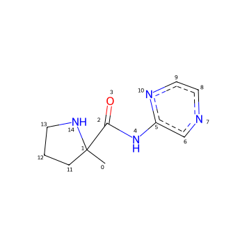 CC1(C(=O)Nc2cnccn2)CCCN1